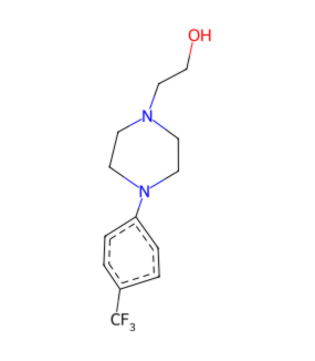 OCCN1CCN(c2ccc(C(F)(F)F)cc2)CC1